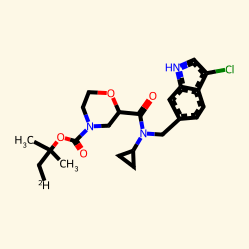 [2H]CC(C)(C)OC(=O)N1CCOC(C(=O)N(Cc2ccc3c(Cl)c[nH]c3c2)C2CC2)C1